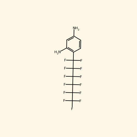 Nc1ccc(C(F)(F)C(F)(F)C(F)(F)C(F)(F)C(F)(F)C(F)(F)F)c(N)c1